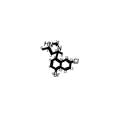 CC1=CC(C)(c2ccc(Br)c3ccc(Cl)cc23)N=[C]N1